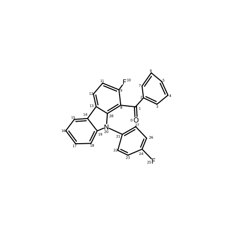 O=C(c1ccccc1)c1c(F)ccc2c3ccccc3n(-c3ccc(F)cc3)c12